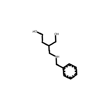 OCCC(CO)CNCc1ccccc1